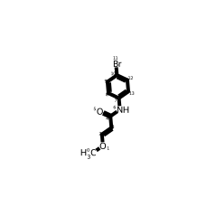 COC=CC(=O)Nc1ccc(Br)cc1